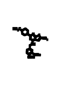 COc1ccc(CNc2nc(N3CCC(C(=O)O)CC3)nc3sc([N+](=O)[O-])cc23)cc1OC